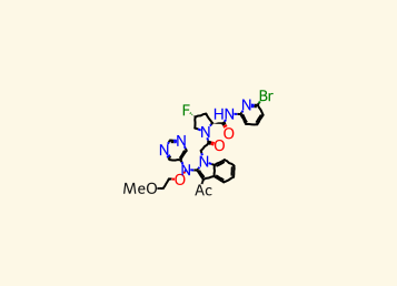 COCCON(c1cncnc1)c1c(C(C)=O)c2ccccc2n1CC(=O)N1C[C@H](F)C[C@H]1C(=O)Nc1cccc(Br)n1